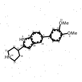 COc1ccc(-c2ccc3[nH]c(C4CCNCC4)cc3c2)cc1OC